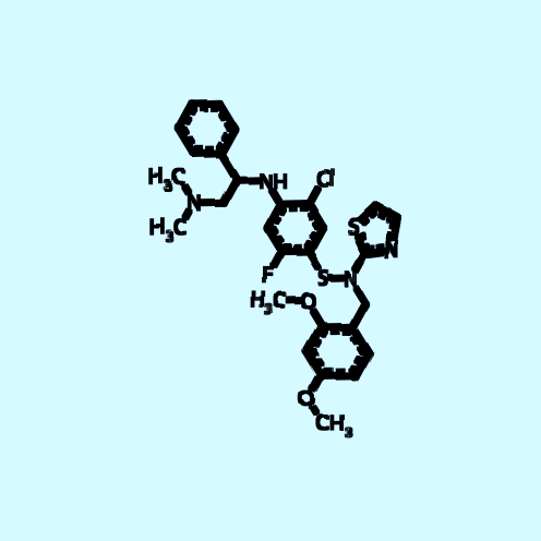 COc1ccc(CN(Sc2cc(Cl)c(NC(CN(C)C)c3ccccc3)cc2F)c2nccs2)c(OC)c1